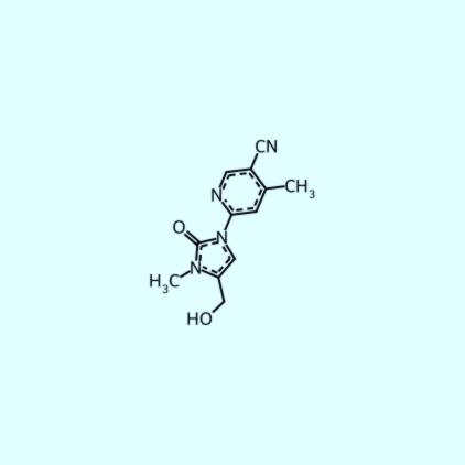 Cc1cc(-n2cc(CO)n(C)c2=O)ncc1C#N